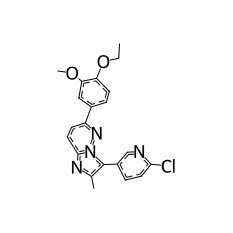 CCOc1ccc(-c2ccc3nc(C)c(-c4ccc(Cl)nc4)n3n2)cc1OC